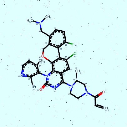 C=CC(=O)N1CCN(c2nc(=O)n(-c3c(C)ccnc3C(C)C)c3c4c(c(Cl)cc23)-c2c(F)ccc(CN(C)C)c2CO4)[C@@H](C)C1